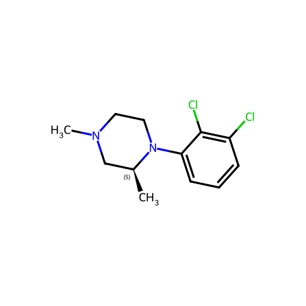 C[C@H]1CN(C)CCN1c1cccc(Cl)c1Cl